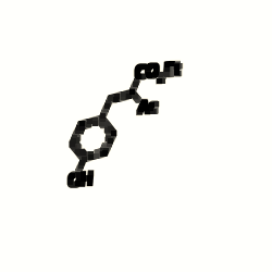 CCOC(=O)C(=Cc1ccc(O)cc1)C(C)=O